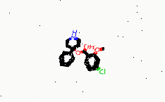 COc1cc(Cl)ccc1C(O)OC1(c2ccccc2)CCNCC1